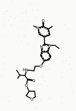 CCn1c(-c2cc(C)c(=O)n(C)c2)nc2cc(OCCNC(C(=O)OC3CCOC3)C(C)C)ccc21